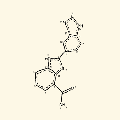 NC(=O)c1cccc2[nH]c(-c3ccc4[nH]nnc4c3)nc12